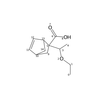 CCOC(C)C1(C(=O)O)CC2C=CC1C2